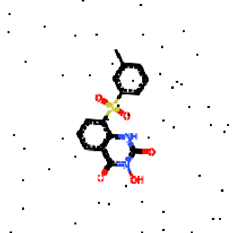 Cc1cccc(S(=O)(=O)c2cccc3c(=O)n(O)c(=O)[nH]c23)c1